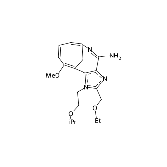 CCOCc1nc2c(n1CCOC(C)C)C1=C(OC)C=CC=C(C1)N=C2N